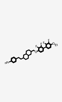 CCCc1ccc(CCC2CCC3CC(COc4ccc(-c5ccc(OCC)c(F)c5F)c(F)c4F)CCC3C2)cc1